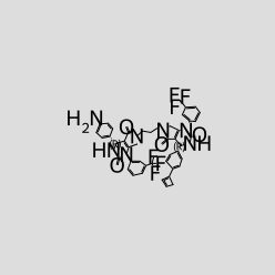 Nc1ccc([C@H]2NC(=O)N(c3cccc(C(F)(F)F)c3)C3=C2C(=O)N(CCCN2CC4=C(C2=O)[C@@H](c2ccc(C5=C=CC5)cc2)NC(=O)N4c2cccc(C(F)(F)F)c2)C3)cc1